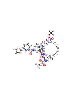 CC(C)(C)OC(=O)N[C@H]1CCCCC/C=C\[C@@H]2C[C@@]2(C(=O)NS(=O)(=O)C2CC2)NC(=O)[C@@H]2[C@H]3CN(C(=O)c4cccc(-c5cccs5)n4)C[C@H]3CN2C1=O